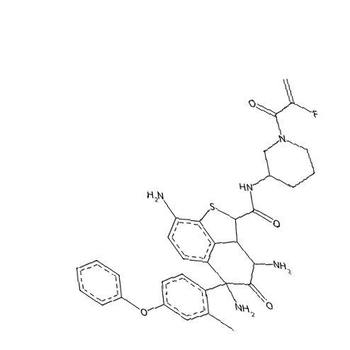 C=C(F)C(=O)N1CCCC(NC(=O)C2Sc3c(N)ccc4c3C2C(N)C(=O)C4(N)c2ccc(Oc3ccccc3)cc2C)C1